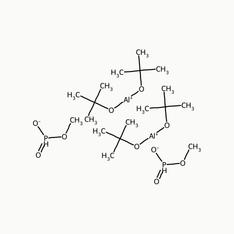 CC(C)(C)[O][Al+][O]C(C)(C)C.CC(C)(C)[O][Al+][O]C(C)(C)C.CO[PH](=O)[O-].CO[PH](=O)[O-]